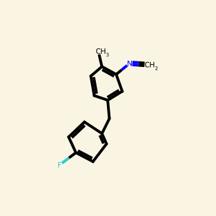 C=Nc1cc(Cc2ccc(F)cc2)ccc1C